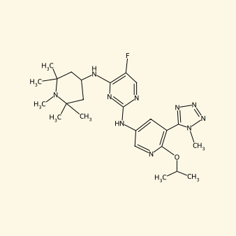 CC(C)Oc1ncc(Nc2ncc(F)c(NC3CC(C)(C)N(C)C(C)(C)C3)n2)cc1-c1nnnn1C